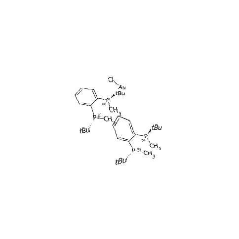 C[P@@](c1ccccc1[P@](C)C(C)(C)C)C(C)(C)C.C[P@@](c1ccccc1[P@](C)C(C)(C)C)C(C)(C)C.[Cl][Au]